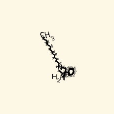 CCCCCCCCCCCCCCN1CCC(CN)(c2ccccc2)CC1